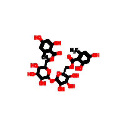 Cc1cc(O)cc(O)c1C(=O)OC[C@H]1O[C@H](O[C@H]2O[C@H](COC(=O)c3c(C)cc(O)cc3O)[C@@H](O)[C@H](O)[C@H]2O)[C@H](O)[C@@H](O)[C@@H]1O